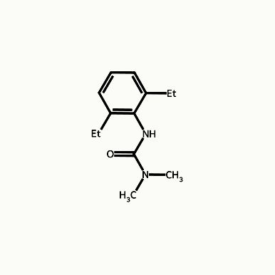 CCc1cccc(CC)c1NC(=O)N(C)C